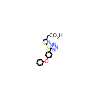 O=C(O)Cc1csc(SC2(c3ccc(Oc4ccccc4)cc3)N=NN=N2)n1